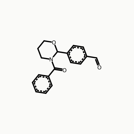 O=Cc1ccc(C2OCCCN2C(=O)c2ccccc2)cc1